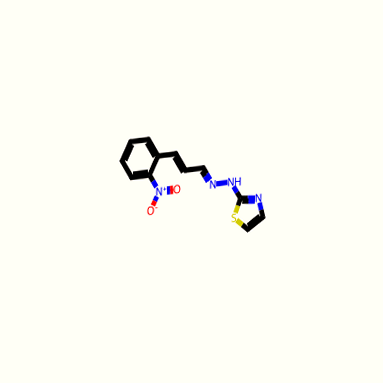 O=[N+]([O-])c1ccccc1C=CC=NNc1nccs1